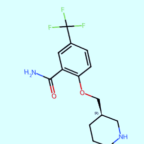 NC(=O)c1cc(C(F)(F)F)ccc1OC[C@@H]1CCCNC1